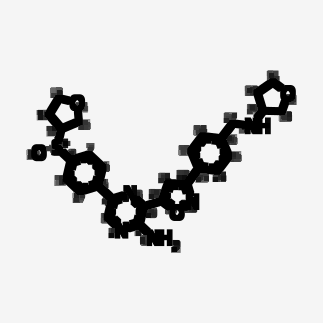 Nc1ncc(-c2ccc([S+]([O-])C3CCOC3)cc2)nc1-c1cc(-c2ccc(CNC3CCOC3)cc2)no1